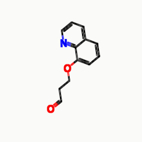 O=CCCOc1cccc2cccnc12